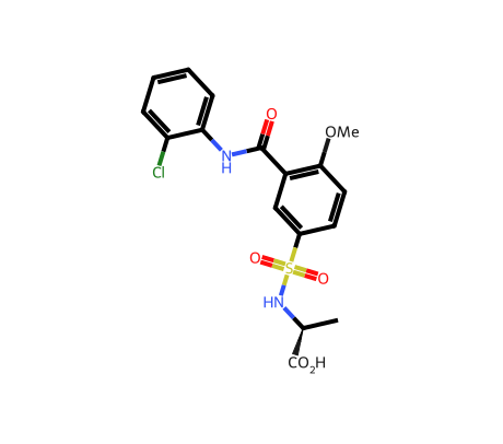 COc1ccc(S(=O)(=O)N[C@@H](C)C(=O)O)cc1C(=O)Nc1ccccc1Cl